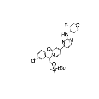 CC(C)(C)[Si](C)(C)OCC(c1cccc(Cl)c1)n1ccc(-c2ccnc(N[C@H]3CCOC[C@H]3F)n2)cc1=O